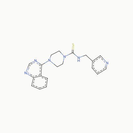 S=C(NCc1cccnc1)N1CCN(c2ncnc3ccccc23)CC1